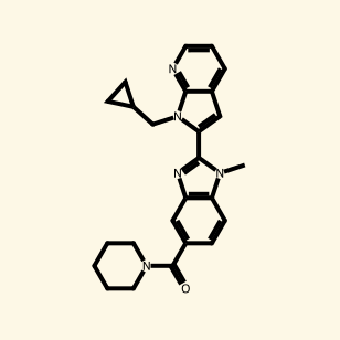 Cn1c(-c2cc3cccnc3n2CC2CC2)nc2cc(C(=O)N3CCCCC3)ccc21